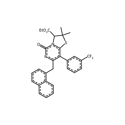 CCOC(=O)C1n2c(c(-c3cccc(C(F)(F)F)c3)c(Cc3cccc4ccccc34)nc2=O)SC1(C)C